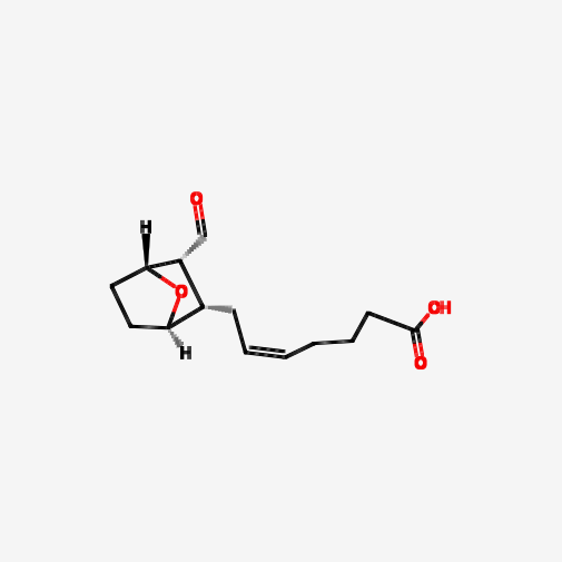 O=C[C@@H]1[C@H](C/C=C\CCCC(=O)O)[C@H]2CC[C@H]1O2